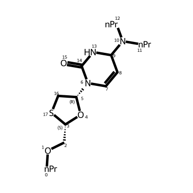 CCCOC[C@H]1O[C@@H](N2C=CC(N(CCC)CCC)NC2=O)CS1